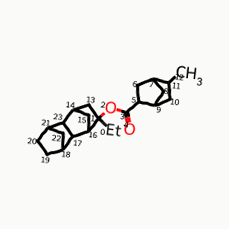 CCC1(OC(=O)C2CC3CC2CC3C)CC2CC1C1C3CCC(C3)C21